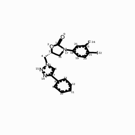 O=C1O[C@@H](Cn2cc(-c3ccccc3)nn2)CN1c1ccc(I)c(F)c1